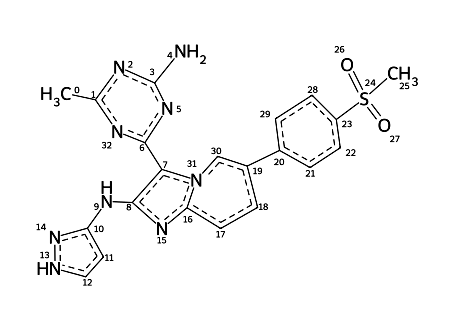 Cc1nc(N)nc(-c2c(Nc3cc[nH]n3)nc3ccc(-c4ccc(S(C)(=O)=O)cc4)cn23)n1